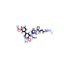 CCN(c1cc(-c2ccnc(OC)c2)c[nH]c1=O)[C@@H]1CCN(C(=O)/C=C/CN)C1